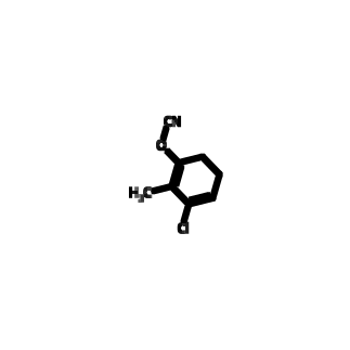 CC1=C(OC#N)CCC=C1Cl